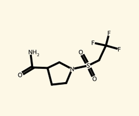 NC(=O)C1CCN(S(=O)(=O)CC(F)(F)F)C1